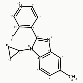 Cc1ccc2c(c1)nc(-c1ccncc1F)n2C1CC1